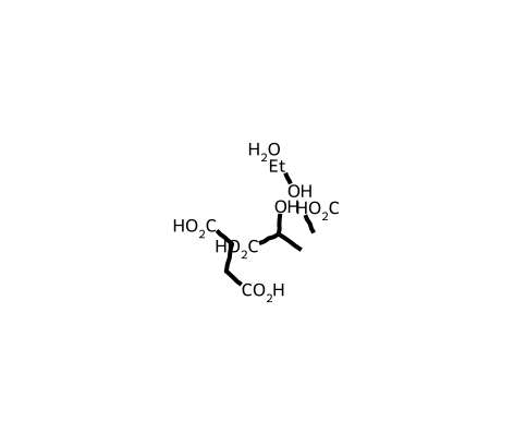 CC(=O)O.CC(O)C(=O)O.CCO.O.O=C(O)CCC(=O)O